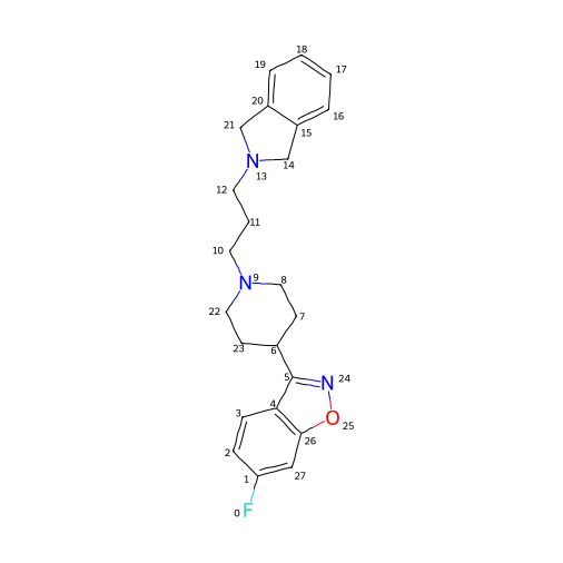 Fc1ccc2c(C3CCN(CCCN4Cc5ccccc5C4)CC3)noc2c1